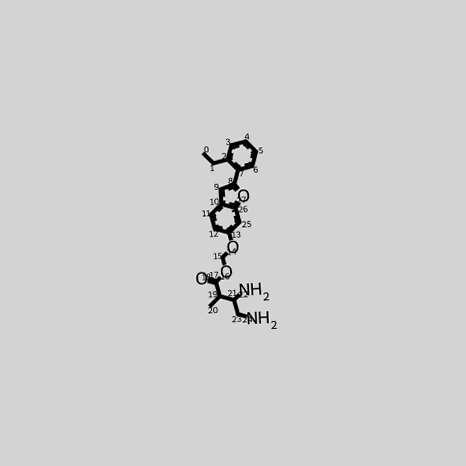 CCc1ccccc1-c1cc2ccc(OCOC(=O)C(C)C(N)CN)cc2o1